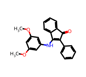 COc1cc(NC2=C(c3ccccc3)C(=O)c3ccccc32)cc(OC)c1